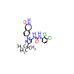 CC(C)(C)c1cc(NC(=O)Nc2cccc(Cl)c2Cl)n(C2C=CC3=CC(=O)NCCC3=C2)n1